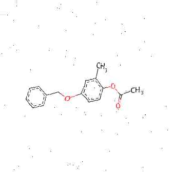 CC(=O)Oc1ccc(OCc2ccccc2)cc1C